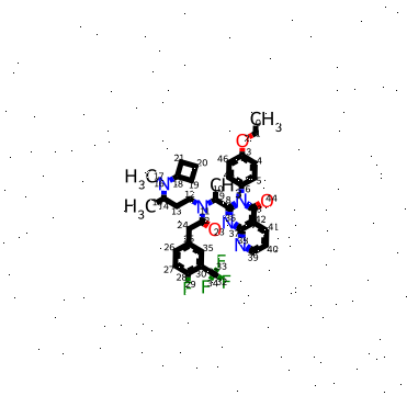 CCOc1ccc(-n2c(C(C)N(CCC(C)N(C)C3CCC3)C(=O)Cc3ccc(F)c(C(F)(F)F)c3)nc3ncccc3c2=O)cc1